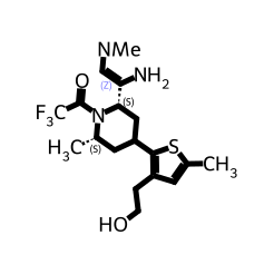 CN/C=C(\N)[C@@H]1CC(c2sc(C)cc2CCO)C[C@H](C)N1C(=O)C(F)(F)F